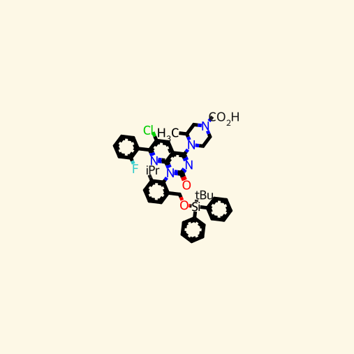 CC(C)c1cccc(CO[Si](c2ccccc2)(c2ccccc2)C(C)(C)C)c1-n1c(=O)nc(N2CCN(C(=O)O)CC2C)c2cc(Cl)c(-c3ccccc3F)nc21